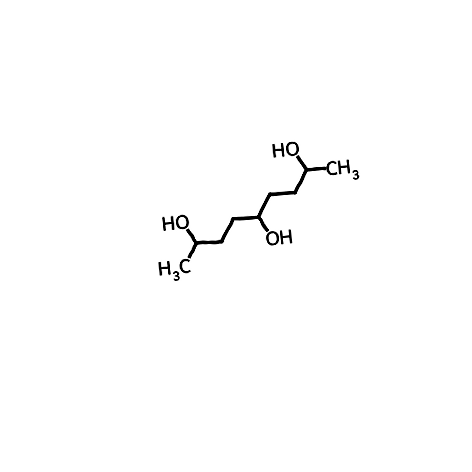 CC(O)CCC(O)CCC(C)O